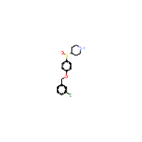 [O-][S+](c1ccc(OCc2cccc(Cl)c2)cc1)C1CCNCC1